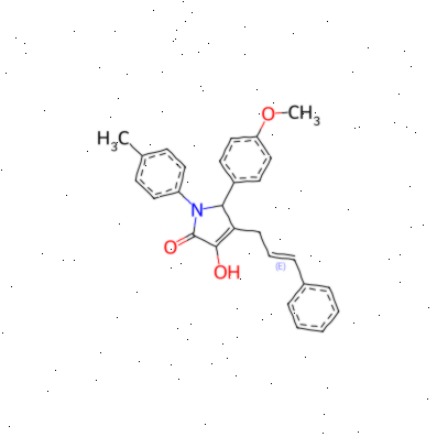 COc1ccc(C2C(C/C=C/c3ccccc3)=C(O)C(=O)N2c2ccc(C)cc2)cc1